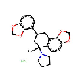 CC1(N2CCCC2)CC(c2cccc3c2OCO3)Cc2c1ccc1c2OCO1.Cl